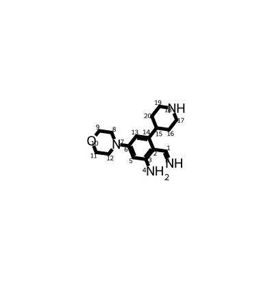 N=Cc1c(N)cc(N2CCOCC2)cc1C1CCNCC1